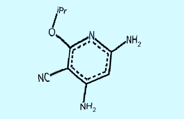 CC(C)Oc1nc(N)cc(N)c1C#N